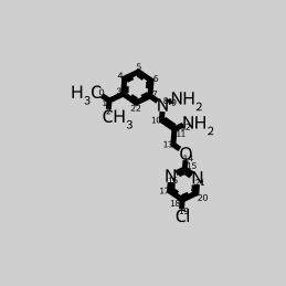 CC(C)c1cccc(N(N)/C=C(\N)COc2ncc(Cl)cn2)c1